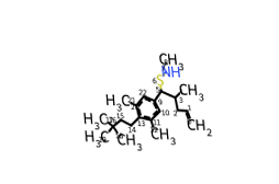 C=CCC(C)C(SNC)c1cc(C)c(CCC(C)(C)C)c(C)c1